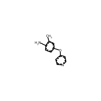 Cc1cc(Oc2ccncc2)ccc1N